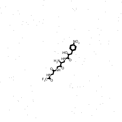 NC(CNC(=O)C(O)Cc1ccc([N+](=O)[O-])cc1)C(=O)CNC(=O)CNC(=O)C(F)(F)F